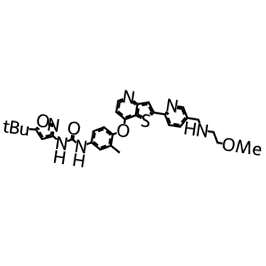 COCCNCc1ccc(-c2cc3nccc(Oc4ccc(NC(=O)Nc5cc(C(C)(C)C)on5)cc4C)c3s2)nc1